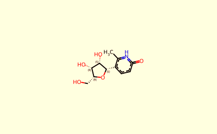 Cc1[nH]c(=O)ccc1[C@@H]1O[C@H](CO)[C@H](O)[C@@H]1O